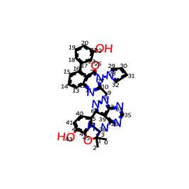 CC1(C)Cc2c(-c3nn(Cc4nc5cccc(-c6cccc(O)c6)c5c(=O)n4-n4cccc4)c4ncnc(N)c34)ccc(O)c2O1